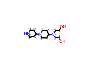 OCCN(CCO)C1CCN(C2CCNCC2)CC1